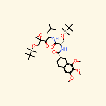 COc1cc2c(c(OC)c1OC)C[C@@H](C(=O)N[C@@H](CO[Si](C)(C)C(C)(C)C)C(=O)N[C@@H](CC(C)C)C(=O)C1(CO[Si](C)(C)C(C)(C)C)CO1)CC2